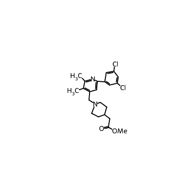 COC(=O)CC1CCN(Cc2cc(-c3cc(Cl)cc(Cl)c3)nc(C)c2C)CC1